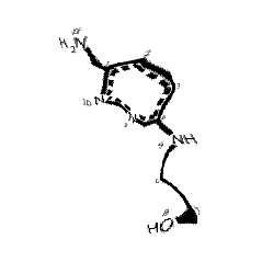 Nc1ccc(NCCO)nn1